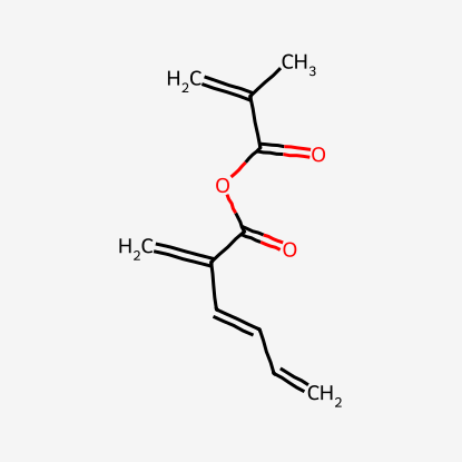 C=CC=CC(=C)C(=O)OC(=O)C(=C)C